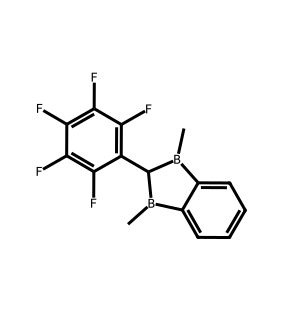 CB1c2ccccc2B(C)C1c1c(F)c(F)c(F)c(F)c1F